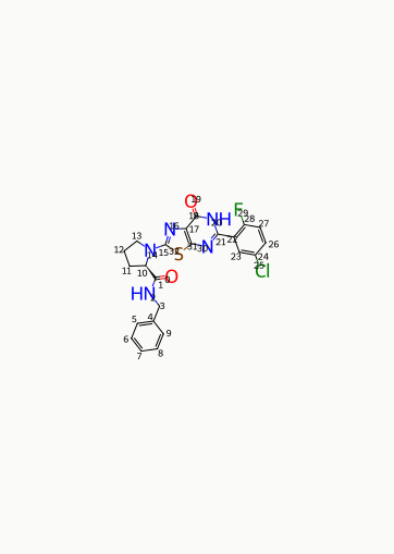 O=C(NCc1ccccc1)[C@H]1CCCN1c1nc2c(=O)[nH]c(-c3cc(Cl)ccc3F)nc2s1